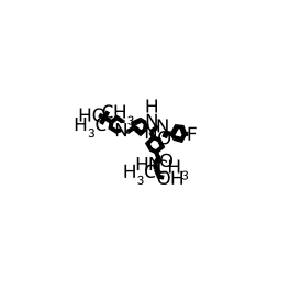 CC(C)(CO)NC(=O)C1CCC(n2/c(=N\C(=O)c3ccc(F)cc3)[nH]c3ccc(CN4CCC(C(C)(C)O)CC4)cc32)CC1